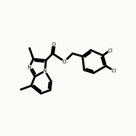 Cc1nc2c(C)cccn2c1C(=O)OCc1ccc(Cl)c(Cl)c1